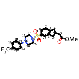 COC(=O)CC1Cc2ccc(S(=O)(=O)N3CCN(c4ccc(C(F)(F)F)cc4)CC3)cc2C1